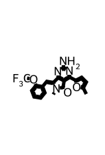 Cc1ccc(-c2nc(N)nc3c2C(=O)N(C)/C3=C\c2ccccc2OC(F)(F)F)o1